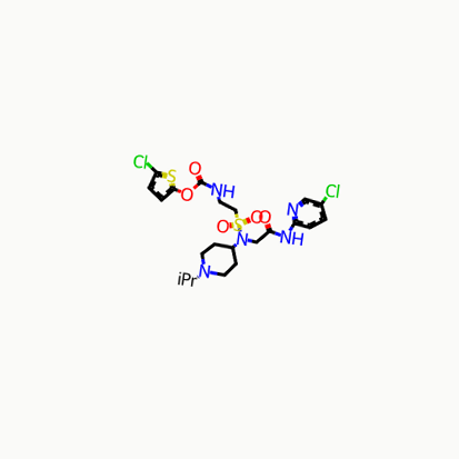 CC(C)N1CCC(N(CC(=O)Nc2ccc(Cl)cn2)S(=O)(=O)CCNC(=O)Oc2ccc(Cl)s2)CC1